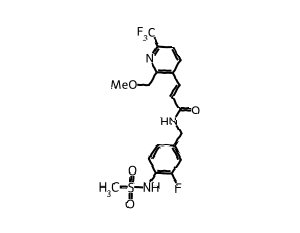 COCc1nc(C(F)(F)F)ccc1/C=C/C(=O)NCc1ccc(NS(C)(=O)=O)c(F)c1